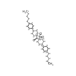 CCCCCc1ccc(C2CCC3(CC2)C(=O)C2(CCC(c4ccc(CCCCC)cc4)CC2)C3(Cl)Cl)cc1